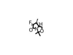 C[C@H]1[C@H]2COC(C)(C)N2C(=O)[C@@H]1F